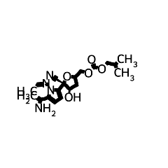 C=C(N)c1ccc([C@]2(C#N)OC(COC(=O)OCC(C)C)C[C@H]2O)n1/N=C\C